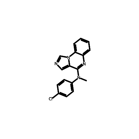 CN(c1ccc(Cl)cc1)c1nc2ccccc2n2cncc12